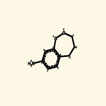 Nc1ccc2c(c1)OOCCC2